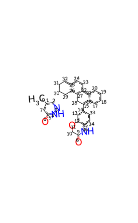 Cc1cn[nH]c(=O)c1.O=C1COc2cc(C3=c4ccccc4=c4ccc5c(c4C3)CCCC=5)ccc2N1